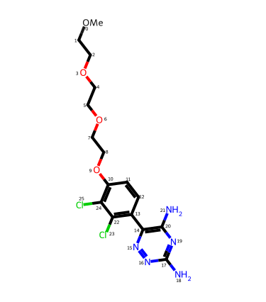 COCCOCCOCCOc1ccc(-c2nnc(N)nc2N)c(Cl)c1Cl